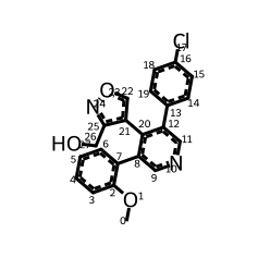 COc1ccccc1-c1cncc(-c2ccc(Cl)cc2)c1-c1conc1CO